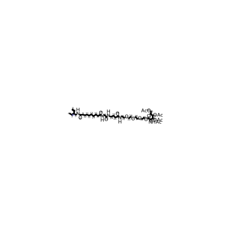 C=C/C(=C\C)CNC(=O)CCCCCCCCC(=O)NCC(=O)NCCCC(=O)NCCOCCOCCOCCOC1OC(COC(C)=O)C(OC(C)=O)C(OC(C)=O)C1NC(C)=O